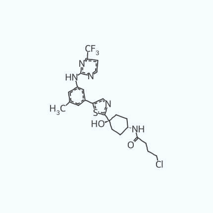 Cc1cc(Nc2nccc(C(F)(F)F)n2)cc(-c2cnc([C@]3(O)CC[C@H](NC(=O)CCCCl)CC3)s2)c1